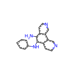 Nc1c(Nc2ccccc2)c2ccncc2c2cnccc12